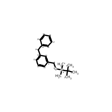 CC(C)(C)[Si](C)(C)OCc1[c]ccc(Cc2ccccc2)c1